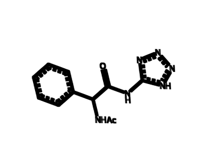 CC(=O)NC(C(=O)Nc1nnn[nH]1)c1ccccc1